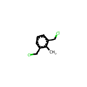 Cc1c(CCl)cccc1CCl